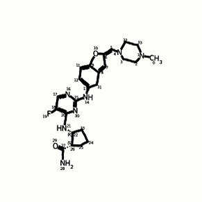 CN1CCN(C=c2cc3c(o2)=CC=C(Nc2ncc(F)c(N[C@@H]4CCC[C@@H]4C(N)=O)n2)C3)CC1